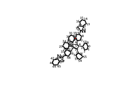 c1ccc(C2=C(c3ccc(-c4nc5ccccc5s4)cc3)[Si](c3ccccc3)(c3ccccc3)C(c3ccc(-c4nc5ccccc5s4)cc3)=C2c2ccccc2)cc1